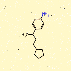 CC(CCC1CCCC1)c1ccc(N)cc1